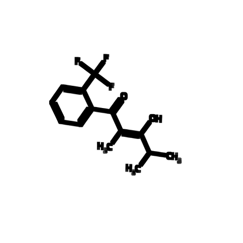 C/C(C(=O)c1ccccc1C(F)(F)F)=C(/O)C(C)C